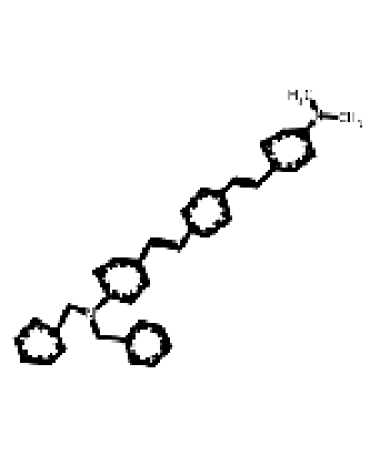 CN(C)c1ccc(C=Cc2ccc(C=Cc3ccc(N(Cc4ccccc4)Cc4ccccc4)cc3)cc2)cc1